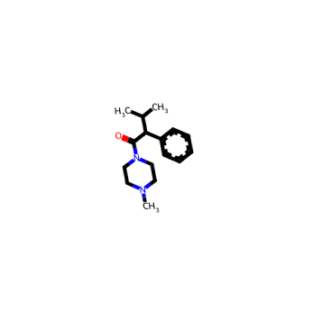 CC(C)C(C(=O)N1CCN(C)CC1)c1ccccc1